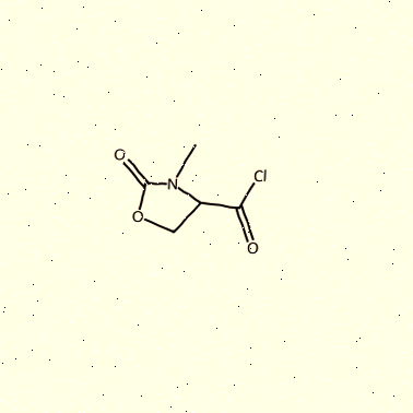 CN1C(=O)OCC1C(=O)Cl